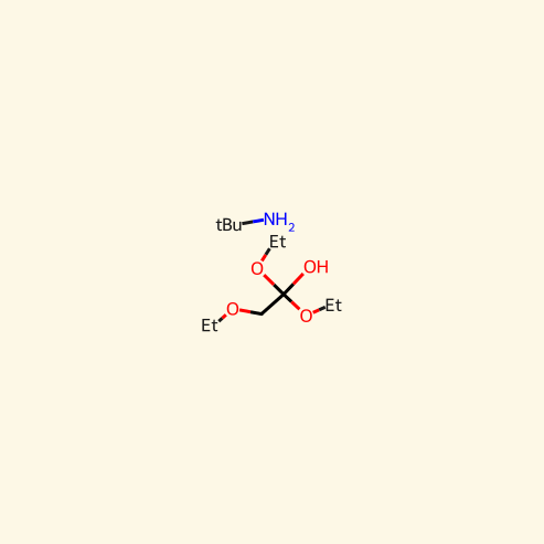 CC(C)(C)N.CCOCC(O)(OCC)OCC